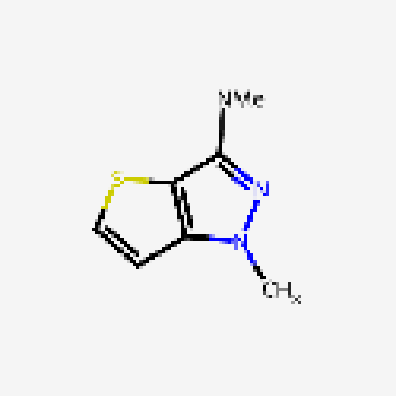 CNc1nn(C)c2ccsc12